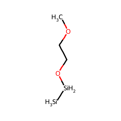 COCCO[SiH2][SiH3]